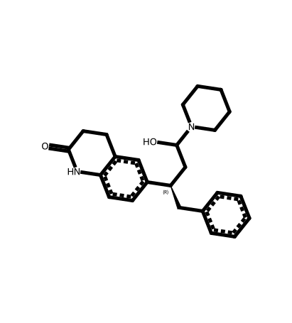 O=C1CCc2cc([C@H](Cc3ccccc3)CC(O)N3CCCCC3)ccc2N1